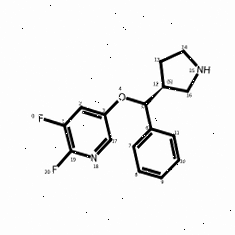 Fc1cc(OC(c2ccccc2)[C@H]2CCNC2)cnc1F